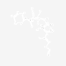 C=CS/C=C(\C)c1nnc(SC(C)(C)C(=O)N(C)C2=CC=CCC2)n1C